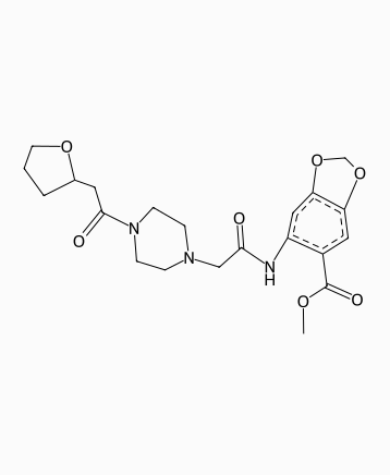 COC(=O)c1cc2c(cc1NC(=O)CN1CCN(C(=O)CC3CCCO3)CC1)OCO2